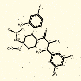 Cc1cc(F)ccc1[C@H]1C[C@](CC=O)(N[S@+]([O-])C(C)(C)C)CCN1C(=O)N(C)[C@H](C)c1cc(C(F)(F)F)cc(C(F)(F)F)c1